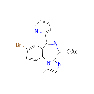 CC(=O)OC1N=C(c2ccccn2)c2cc(Br)ccc2-n2c(C)cnc21